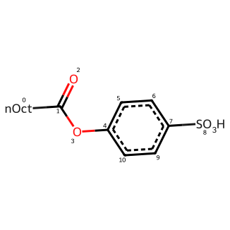 CCCCCCCCC(=O)Oc1ccc(S(=O)(=O)O)cc1